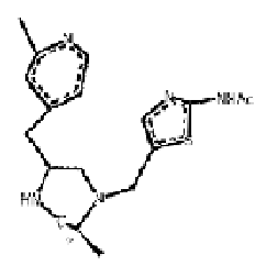 CC(=O)Nc1ncc(CN2CC(Cc3ccnc(C)c3)NC[C@@H]2C)s1